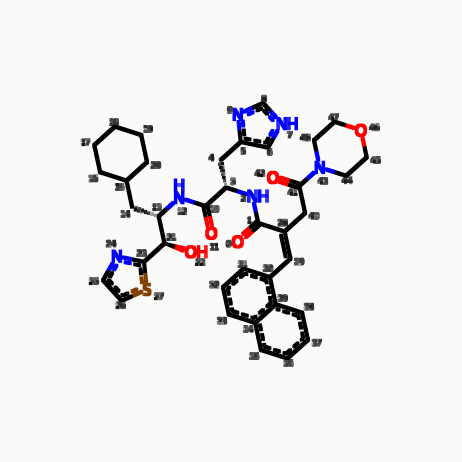 O=C(N[C@@H](Cc1c[nH]cn1)C(=O)N[C@@H](CC1CCCCC1)[C@@H](O)c1nccs1)C(=Cc1cccc2ccccc12)CC(=O)N1CCOCC1